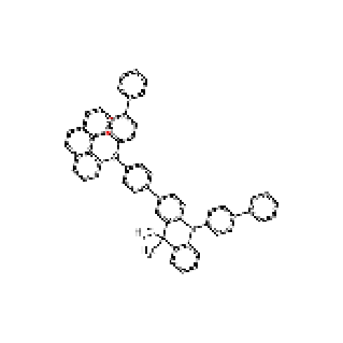 CC1(C)c2ccccc2N(c2ccc(-c3ccccc3)cc2)c2ccc(-c3ccc(N(c4ccc(-c5ccccc5)cc4)c4cccc5ccc6ccccc6c45)cc3)cc21